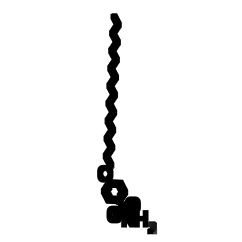 CCCCCCCCCCCCCCCCCCOc1ccc(S(N)(=O)=O)cc1